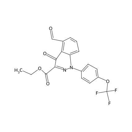 CCOC(=O)c1nn(-c2ccc(OC(F)(F)F)cc2)c2cccc(C=O)c2c1=O